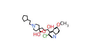 COc1ccc2ncc(Cl)c([C@@H](O)CCC3(C(=O)O)CCN(CCC4CCCC4)CC3)c2c1